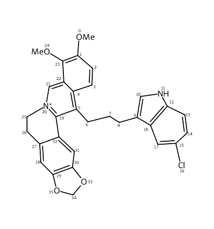 COc1ccc2c(CCCc3c[nH]c4ccc(Cl)cc34)c3[n+](cc2c1OC)CCc1cc2c(cc1-3)OCO2